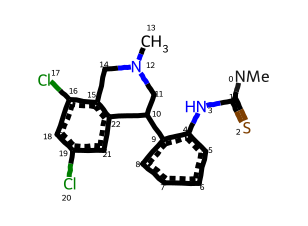 CNC(=S)Nc1ccccc1C1CN(C)Cc2c(Cl)cc(Cl)cc21